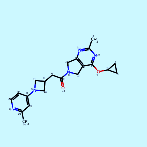 Cc1nc2c(c(OC3CC3)n1)CN(C(=O)CC1CN(c3ccnc(C(F)(F)F)c3)C1)C2